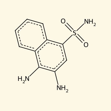 Nc1cc(S(N)(=O)=O)c2ccccc2c1N